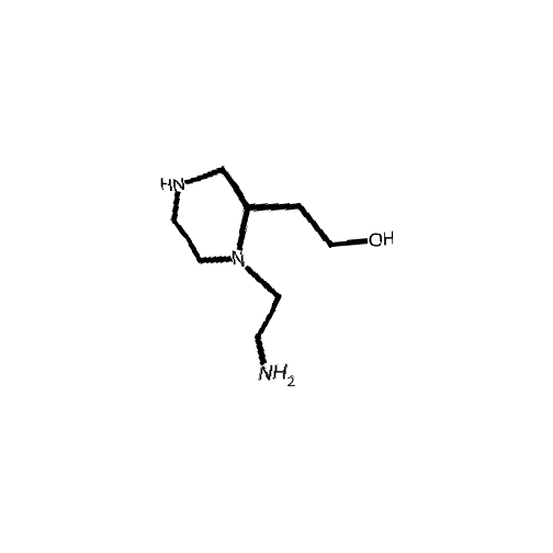 NCCN1CCNCC1CCO